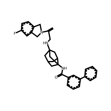 C=C(CNC12CC3CC(C1)C(NC(=O)c1cccc(-c4ccccc4)c1)(C3)C2)N1Cc2ccc(F)cc2C1